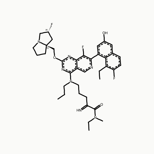 CCCN(CCCC(=N)C(=O)N(C)CC)c1nc(OC[C@@]23CCCN2C[C@H](F)C3)nc2c(F)c(-c3cc(O)cc4ccc(F)c(CC)c34)ncc12